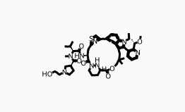 CCn1c(-c2cccnc2[C@H](C)OC)c2c3cc(ccc31)-c1csc(n1)C[C@H](NC(=O)[C@H](C(C)C)N(C)C(=O)[C@H]1CCN(CCO)C1)C(=O)N1CCC[C@H](N1)C(=O)OCC(C)(C)C2